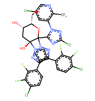 OC[C@@H]1OC(c2nc(Cl)nn2-c2cc(Cl)cnc2C(F)(F)F)(n2cc(-c3ccc(Cl)c(F)c3F)cn2)[C@](O)(n2cc(-c3ccc(Cl)c(F)c3F)cn2)C[C@@H]1O